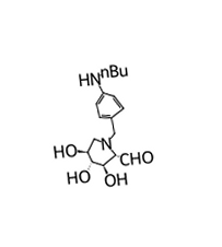 CCCCNc1ccc(CN2C[C@H](O)[C@@H](O)[C@H](O)[C@H]2C=O)cc1